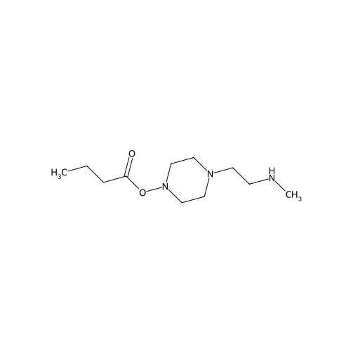 CCCC(=O)ON1CCN(CCNC)CC1